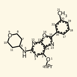 CCCOc1nc(NC2CCOCC2)nc2oc(-c3cccc(C)c3)nc12